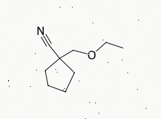 CCOCC1(C#N)CCCC1